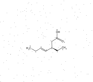 CC/C=C/[C@H](CC)CC(=O)O